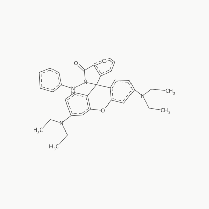 CCN(CC)c1ccc2c(c1)Oc1cc(N(CC)CC)ccc1C21c2ccccc2C(=O)N1Nc1ccccc1